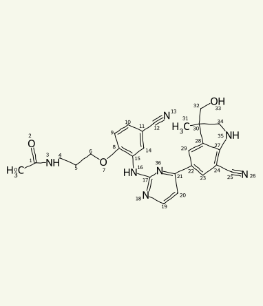 CC(=O)NCCCOc1ccc(C#N)cc1Nc1nccc(-c2cc(C#N)c3c(c2)C(C)(CO)CN3)n1